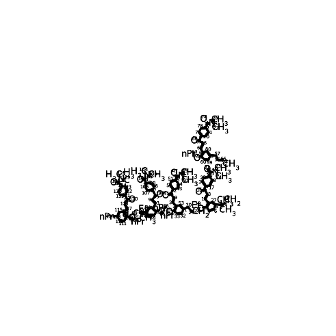 C=CC(C)(C)c1ccc(OCC)c(C=CC(=O)c2ccc(C(=O)N(C)C)cc2)c1.C=CCc1ccc(OCCC)c(C=CC(=O)c2ccc(C(=O)N(C)C)cc2)c1.CC=CCc1ccc(OCCC)c(C=CC(=O)c2ccc(C(=O)N(C)C)cc2)c1.CCCOc1ccc(C(C)(C)CC)cc1C=CC(=O)c1ccc(C(=O)N(C)C)cc1.CCCOc1ccc(CCC)cc1C=CC(=O)c1ccc(C(=O)N(C)C)cc1